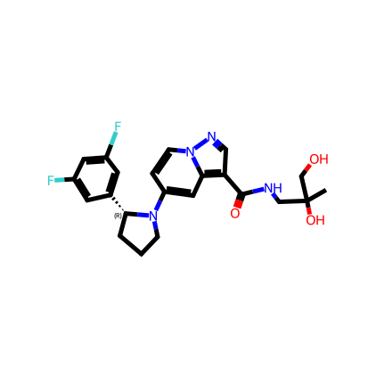 CC(O)(CO)CNC(=O)c1cnn2ccc(N3CCC[C@@H]3c3cc(F)cc(F)c3)cc12